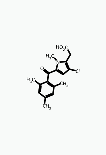 Cc1cc(C)c(C(=O)c2cc(Cl)c(CC(=O)O)n2C)c(C)c1